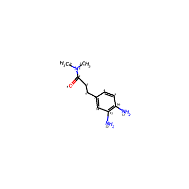 CN(C)C(=O)CCc1ccc(N)c(N)c1